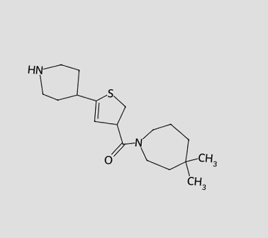 CC1(C)CCCN(C(=O)C2C=C(C3CCNCC3)SC2)CC1